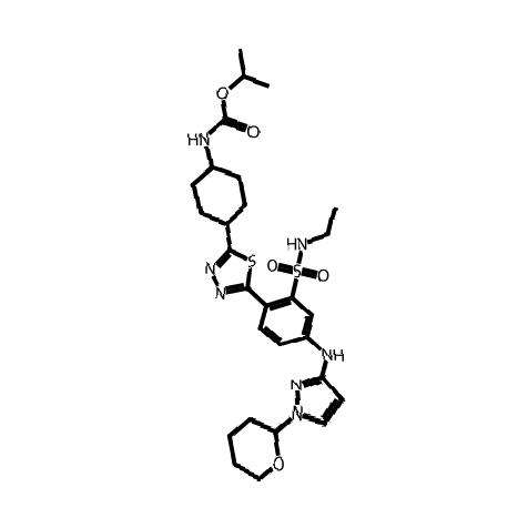 CCNS(=O)(=O)c1cc(Nc2ccn(C3CCCCO3)n2)ccc1-c1nnc(C2CCC(NC(=O)OC(C)C)CC2)s1